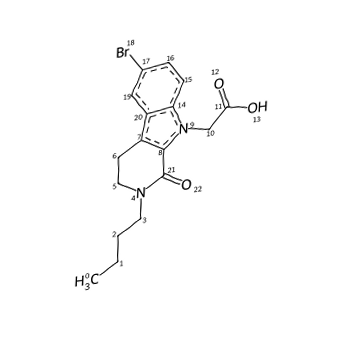 CCCCN1CCc2c(n(CC(=O)O)c3ccc(Br)cc23)C1=O